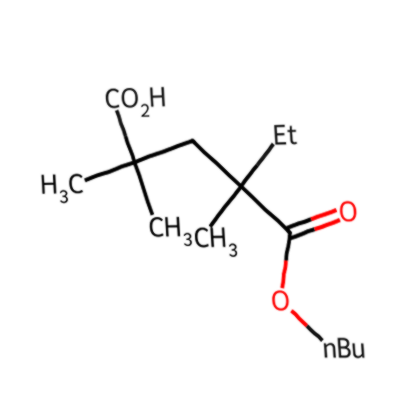 CCCCOC(=O)C(C)(CC)CC(C)(C)C(=O)O